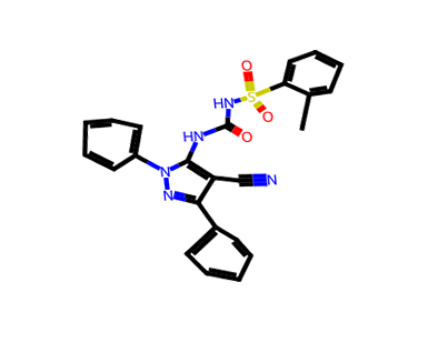 Cc1ccccc1S(=O)(=O)NC(=O)Nc1c(C#N)c(-c2ccccc2)nn1-c1ccccc1